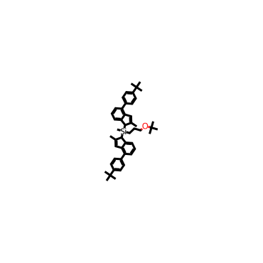 CC1=Cc2c(-c3ccc(C(C)(C)C)cc3)cccc2C1[Si](C)(CCCOC(C)(C)C)C1C(C)=Cc2c(-c3ccc(C(C)(C)C)cc3)cccc21